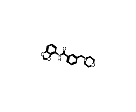 O=C(Nc1cccc2c1OCO2)c1cccc(CN2CCOCC2)c1